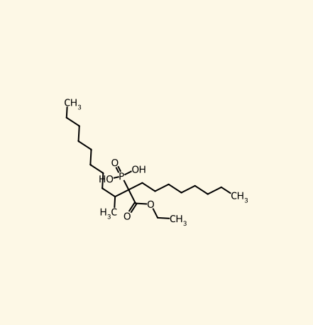 CCCCCCCCC(C)C(CCCCCCCC)(C(=O)OCC)P(=O)(O)O